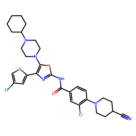 N#CC1CCN(c2ccc(C(=O)Nc3nc(-c4cc(Cl)cs4)c(N4CCN(C5CCCCC5)CC4)s3)cc2Cl)CC1